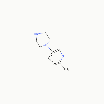 [CH2]c1ccc(N2CCNCC2)cn1